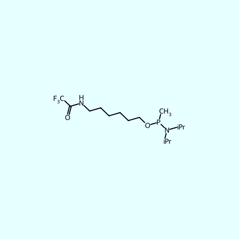 CC(C)N(C(C)C)P(C)OCCCCCCNC(=O)C(F)(F)F